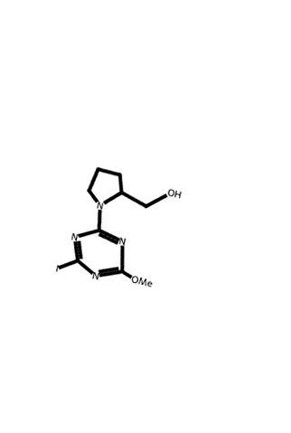 COc1nc(I)nc(N2CCCC2CO)n1